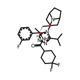 Cc1nnc(C(C)C)n1C1CC2CCC(C1)N2CC[C@H](NC(=O)C1CCC(F)(F)CC1)c1cccc(F)c1